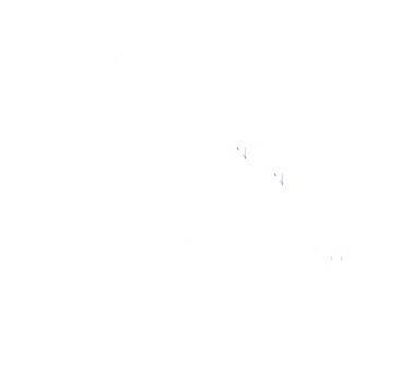 c1ccc(-c2nc(-c3cc(-c4ccc5oc6ccccc6c5c4)cc(-c4cccc5c4oc4ccccc45)c3)cc(-c3ccc4c(c3)oc3ccccc34)n2)cc1